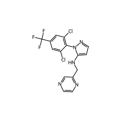 FC(F)(F)c1cc(Cl)c(-n2nccc2NCc2cnccn2)c(Cl)c1